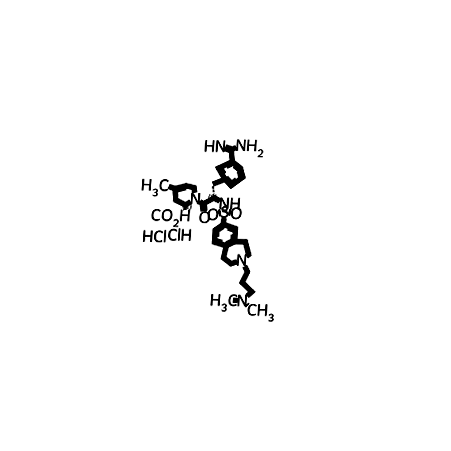 CC1=CCN(C(=O)[C@H](Cc2cccc(C(=N)N)c2)NS(=O)(=O)c2ccc3c(c2)CCN(CCCN(C)C)CC3)[C@@H](C(=O)O)C1.Cl.Cl